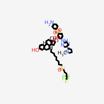 CN1CCC[C@H]1c1cccnc1.C[C@]12CC[C@@H]3c4ccc(O)cc4C[C@@H](CCCCCCCCC[S+]([O-])CCCC(F)(F)C(F)(F)F)[C@H]3[C@@H]1CC[C@@H]2O.Nc1ccc(S(=O)(=O)c2ccc(N)cc2)cc1